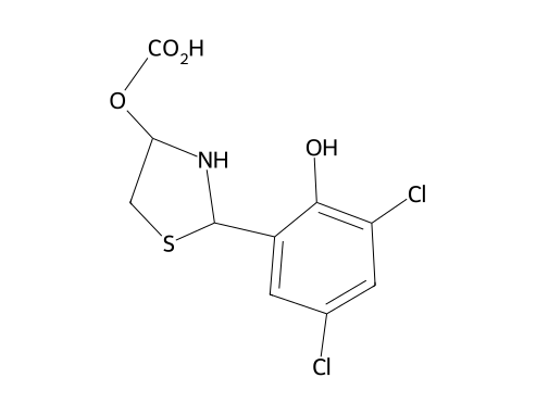 O=C(O)OC1CSC(c2cc(Cl)cc(Cl)c2O)N1